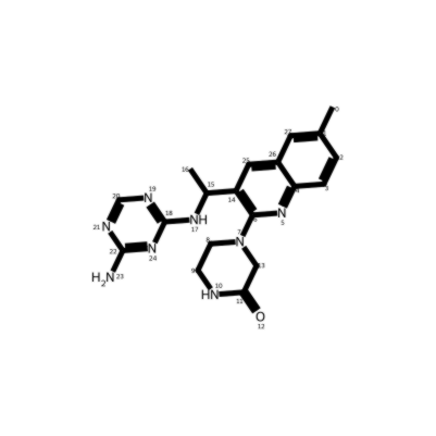 Cc1ccc2nc(N3CCNC(=O)C3)c(C(C)Nc3ncnc(N)n3)cc2c1